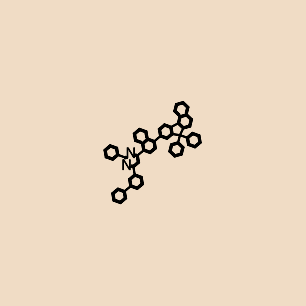 c1ccc(-c2cccc(-c3cc(-c4ccc(-c5ccc6c(c5)C(c5ccccc5)(c5ccccc5)c5ccc7ccccc7c5-6)c5ccccc45)nc(-c4ccccc4)n3)c2)cc1